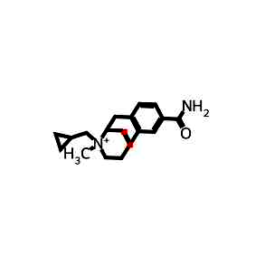 C[N+]1(CC2CC2)CCC23CCCCC2C1Cc1ccc(C(N)=O)cc13